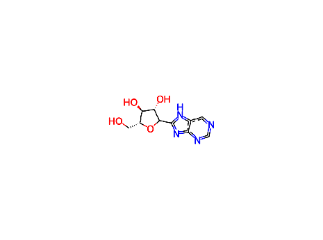 OC[C@H]1OC(c2nc3ncncc3[nH]2)[C@@H](O)[C@@H]1O